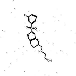 O=S(=O)(c1cccc(F)c1)c1ccc2c(c1)O[C@@H](CNCCO)CC2